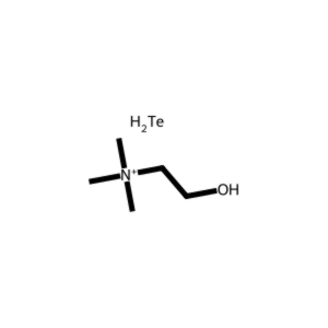 C[N+](C)(C)CCO.[TeH2]